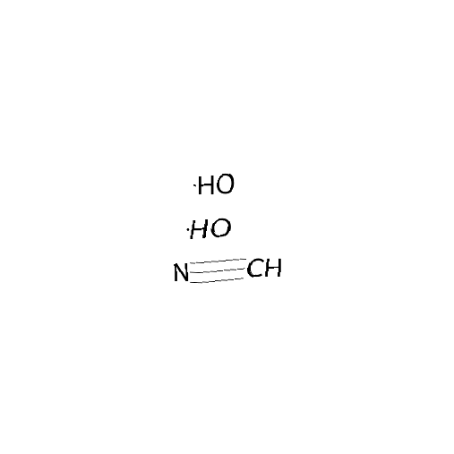 C#N.[OH].[OH]